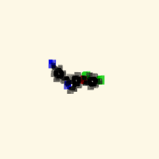 N#Cc1ccc(/C=C/C2=NCCc3cc(OCc4ccc(Cl)cc4Cl)ccc32)cc1